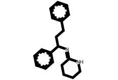 c1ccc(CCC(/N=C2\CCCCN2)c2ccccc2)cc1